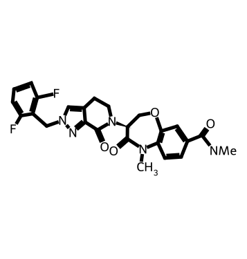 CNC(=O)c1ccc2c(c1)OC[C@H](N1CCc3cn(Cc4c(F)cccc4F)nc3C1=O)C(=O)N2C